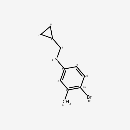 Cc1cc(SCC2CC2)ccc1Br